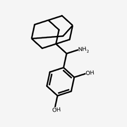 NC(c1ccc(O)cc1O)C12CC3CC(CC(C3)C1)C2